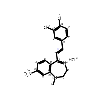 CN1CCN=C(/C=C/c2ccc(Cl)c(Cl)c2)c2ccc([N+](=O)[O-])cc21.Cl